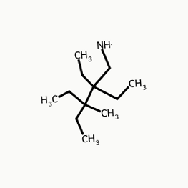 CCC(C)(CC)C(CC)(CC)C[NH]